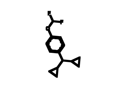 FC(F)Oc1ccc(C(C2CC2)C2CC2)cc1